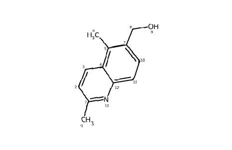 Cc1ccc2c(C)c(CO)ccc2n1